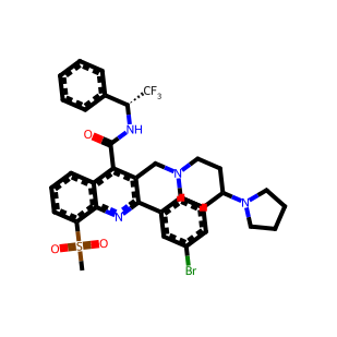 CS(=O)(=O)c1cccc2c(C(=O)N[C@H](c3ccccc3)C(F)(F)F)c(CN3CCC(N4CCCC4)CC3)c(-c3cccc(Br)c3)nc12